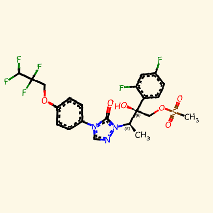 C[C@@H](n1ncn(-c2ccc(OCC(F)(F)C(F)F)cc2)c1=O)[C@@](O)(COS(C)(=O)=O)c1ccc(F)cc1F